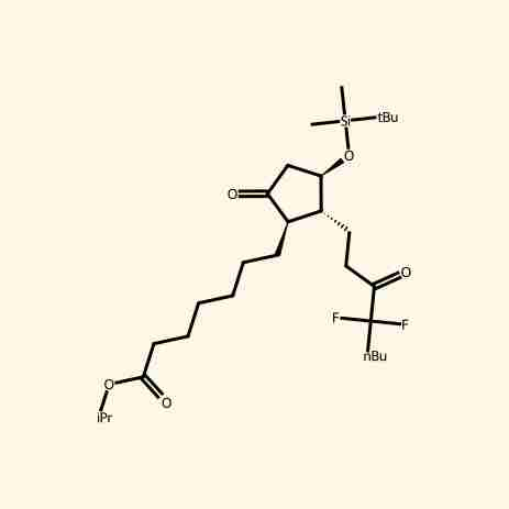 CCCCC(F)(F)C(=O)CC[C@H]1[C@H](O[Si](C)(C)C(C)(C)C)CC(=O)[C@@H]1CCCCCCC(=O)OC(C)C